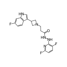 O=C(CCN1CC(c2c[nH]c3cc(F)ccc23)C1)NNc1nc(F)ccc1F